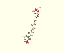 O=C1CC(CCCSCCCSCCCC2CCOC(=O)C2)CCO1